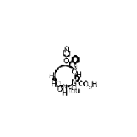 CN1CCC(Oc2c3c(nc4ccccc24)O[C@@H]2C[C@@H](C(=O)O)N(C2)C(=O)[C@H](C(C)(C)C)NC(=O)O[C@@H]2C[C@H]2CCCCC3)CC1